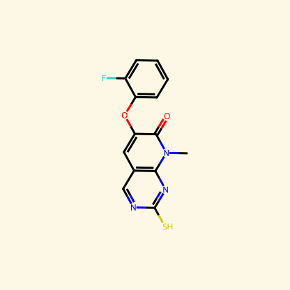 Cn1c(=O)c(Oc2ccccc2F)cc2cnc(S)nc21